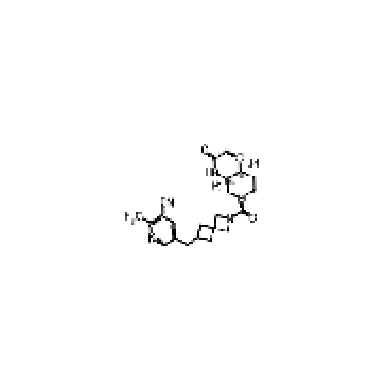 N#Cc1cc(CC2CC3(C2)CN(C(=O)N2CC[C@@H]4OCC(=O)N[C@@H]4C2)C3)cnc1C(F)(F)F